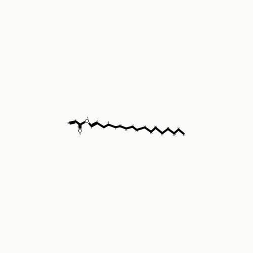 C=CC(=O)OC=CCCCCCCCCCCCCCCC